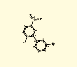 Cc1ccc([SH](=O)=O)cc1-c1cc[c]c(Br)c1